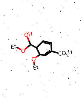 CCOC(O)C1C=CC(C(=O)O)=CC1OCC